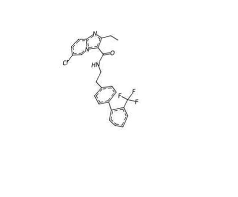 CCc1nc2ccc(Cl)cn2c1C(=O)NCCc1ccc(-c2ccccc2C(F)(F)F)cc1